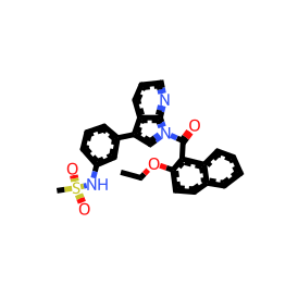 CCOc1ccc2ccccc2c1C(=O)n1cc(-c2cccc(NS(C)(=O)=O)c2)c2cccnc21